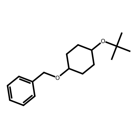 CC(C)(C)OC1CCC(OCc2ccccc2)CC1